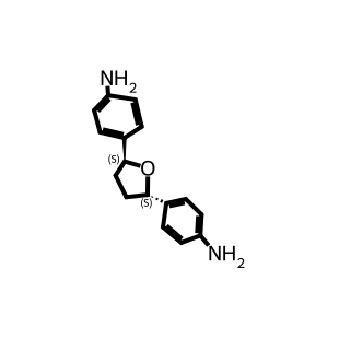 Nc1ccc([C@@H]2CC[C@@H](c3ccc(N)cc3)O2)cc1